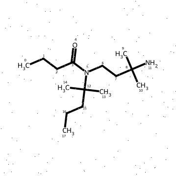 CCCC(=O)N(CCC(C)(C)N)C(C)(C)CCC